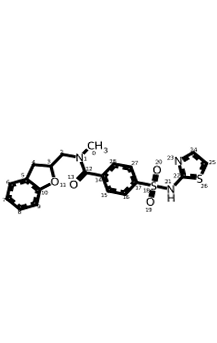 CN(CC1Cc2ccccc2O1)C(=O)c1ccc(S(=O)(=O)Nc2nccs2)cc1